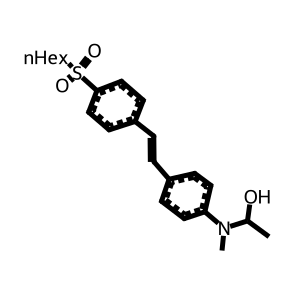 CCCCCCS(=O)(=O)c1ccc(C=Cc2ccc(N(C)C(C)O)cc2)cc1